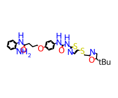 CC(C)(C)C1CN=C(CSc2cnc(NC(=O)Nc3ccc(OCCCC(=O)Nc4ccccc4N)cc3)s2)O1